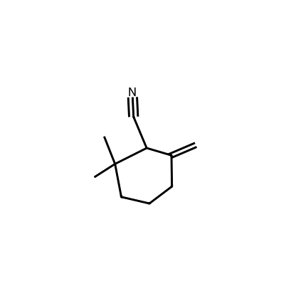 C=C1CCCC(C)(C)C1C#N